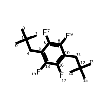 CC(C)(C)Cc1c(F)c(F)c(CC(C)(C)C)c(F)c1F